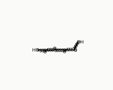 O=C(CSCSCSCC[S+]([O-])CSCSCSCSC(=O)CSCSCSCC[S+]([O-])CSCSCCO)SCSCSCCO